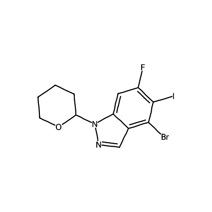 Fc1cc2c(cnn2C2CCCCO2)c(Br)c1I